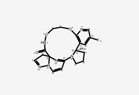 O=C1NOCCOc2ncc(F)cc2[C@H]2CCCN2C2=NC13CC=NN3C=C2